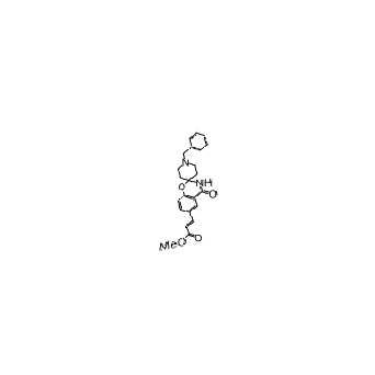 COC(=O)C=Cc1ccc2c(c1)C(=O)NC1(CCN(Cc3ccccc3)CC1)O2